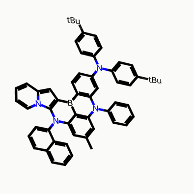 Cc1cc2c3c(c1)N(c1cccc4ccccc14)c1c(cc4ccccn14)B3c1ccc(N(c3ccc(C(C)(C)C)cc3)c3ccc(C(C)(C)C)cc3)cc1N2c1ccccc1